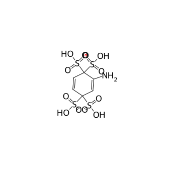 NC1=CC(S(=O)(=O)O)(S(=O)(=O)O)C=CC1(S(=O)(=O)O)S(=O)(=O)O